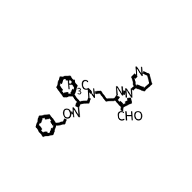 CN(CCc1nn(C2=CCCN=C2)cc1C=O)C/C(=N/OCc1ccccc1)c1ccccc1